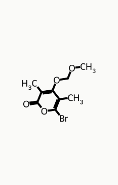 COCOc1c(C)c(Br)oc(=O)c1C